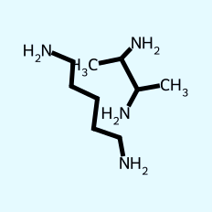 CC(N)C(C)N.NCCCCCN